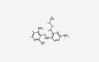 Nc1ccc(NCc2c(N)cccc2O)c(OCCO)c1